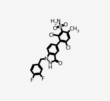 Cc1cc(Cl)c(-c2ccc3c(c2)c(=O)[nH]n3Cc2ccc(F)c(F)c2)c(Cl)c1S(N)(=O)=O